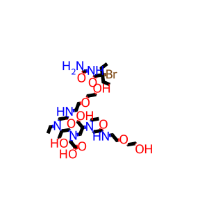 CCC(Br)(CC)C(=O)NC(N)=O.CCN(CC(=O)NCCOCCO)C(CO)CN(CC(=O)O)CC(CO)N(CC)CC(=O)NCCOCCO